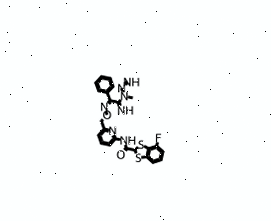 CN(N=N)C(=N)/C(=N\OCc1cccc(NC(=O)C2Sc3cccc(F)c3S2)n1)c1ccccc1